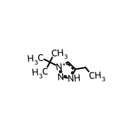 CCc1c[n+](C(C)(C)C)n[nH]1